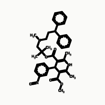 COC(=O)C1=C(C)NC(C)=C(C(=O)OC(C)(C)CN(C)CCC(c2ccccc2)c2ccccc2)C1c1cccc(N=O)c1